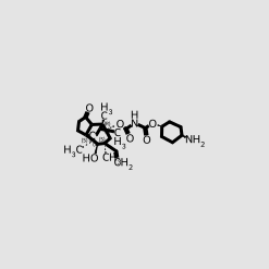 C=C[C@]1(C)C[C@@H](OC(=O)NC(=O)O[C@H]2CC[C@H](N)CC2)[C@]2(C)C(C)CC[C@]3(CCC(=O)C32)[C@@H](C)[C@@H]1O